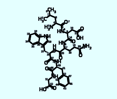 CC(C)C[C@H](N)C(=O)N[C@@H](CC(=O)O)C(=O)N[C@@H](CCC(N)=O)C(=O)N[C@@H](Cc1c[nH]c2ccccc12)C(=O)N[C@@H](Cc1ccccc1)C(=O)NCC(=O)O